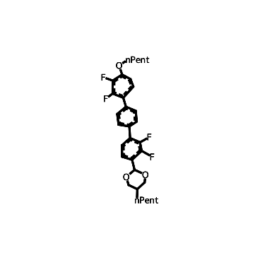 CCCCCOc1ccc(-c2ccc(-c3ccc(C4OCC(CCCCC)CO4)c(F)c3F)cc2)c(F)c1F